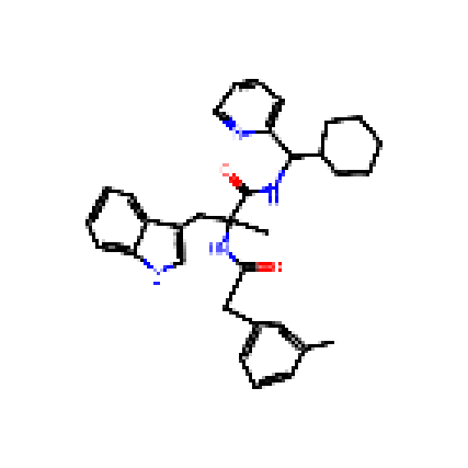 Cc1cccc(CC(=O)NC(C)(Cc2c[nH]c3ccccc23)C(=O)NC(c2ccccn2)C2CCCCC2)c1